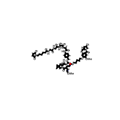 CCC1C[C@H]2C=Nc3cc(OCCCCCO/C=C/C4=C(/C=C/OC)C(=O)N5CC6(CC6)C[C@H]5C(O)N4C(=O)OCc4ccc(NC(=O)[C@H](C)NC(=O)[C@@H](NC(=O)CNC(=O)CNC(=O)CCCCCN5C(=O)C=CC5=O)C(C)C)cc4)c(OC)cc3C(=O)N2C1